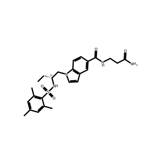 CC[C@H](Cn1ccc2cc(C(=O)NCCC(N)=O)ccc21)NS(=O)(=O)c1c(C)cc(C)cc1C